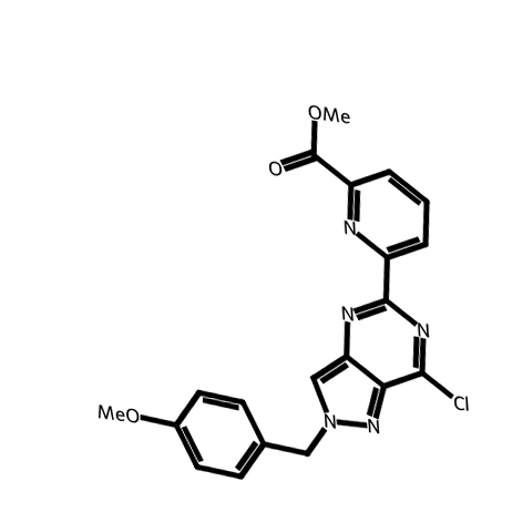 COC(=O)c1cccc(-c2nc(Cl)c3nn(Cc4ccc(OC)cc4)cc3n2)n1